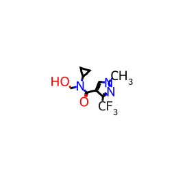 Cn1cc(C(=O)N(CO)C2CC2)c(C(F)(F)F)n1